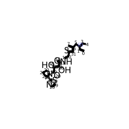 C=C/C(=C\C)Cc1csc(CCNC(=O)[C@H](O)[C@@H](O)C(=O)N2CCC[C@@H]2c2nccs2)c1